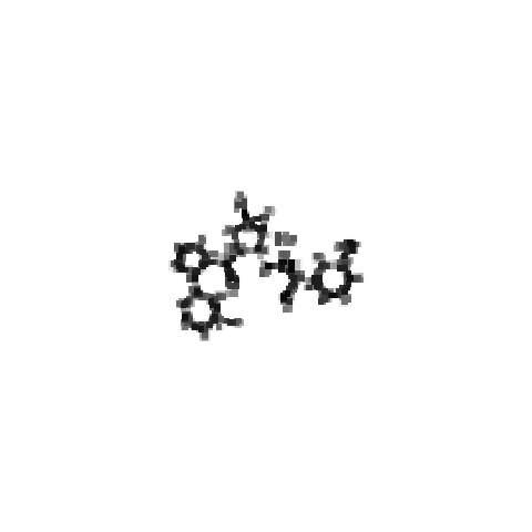 Cc1cccc(-c2sccc2C(=O)N2C[C@@H]3C[C@H]3[C@@H]2CNC(=O)c2cccc(Br)c2)c1